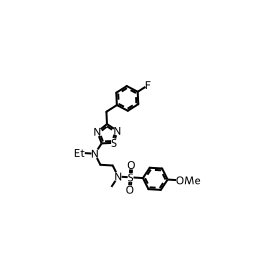 CCN(CCN(C)S(=O)(=O)c1ccc(OC)cc1)c1nc(Cc2ccc(F)cc2)ns1